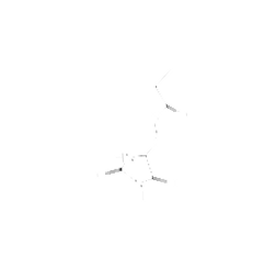 CCC(=O)OSC1NC(=O)NC1=O